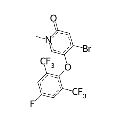 Cn1cc(Oc2c(C(F)(F)F)cc(F)cc2C(F)(F)F)c(Br)cc1=O